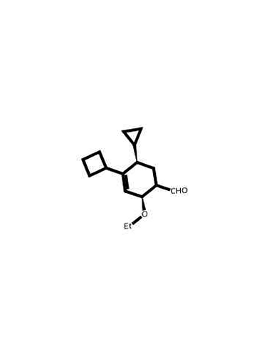 CCO[C@H]1C=C(C2CCC2)[C@@H](C2CC2)CC1C=O